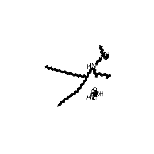 CCCCCCCCCCCCCCCCCCC(CCCCCCCCCCCCCCCCCC)CCCCC(CCC(C)CCCC(C)C)NCCCCn1ccnc1CCCC.Cl.O=C(O)C(F)(F)F